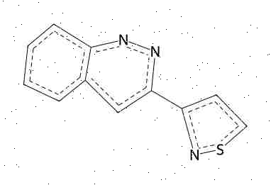 c1ccc2nnc(-c3ccsn3)cc2c1